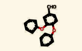 O=Cc1ccc(Oc2ccccc2)c(Oc2ccccc2)c1